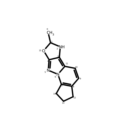 CC1Nc2c(nn3c4c(ccc23)CCC4)O1